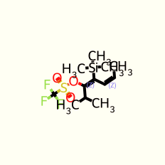 C/C=C\C(=C(\OS(=O)(=O)C(F)(F)F)C(C)C)[Si](C)(C)C